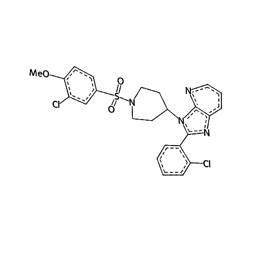 COc1ccc(S(=O)(=O)N2CCC(n3c(-c4ccccc4Cl)nc4cccnc43)CC2)cc1Cl